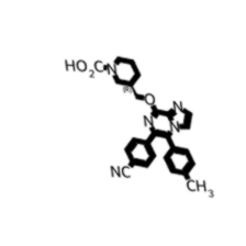 Cc1ccc(-c2c(-c3ccc(C#N)cc3)nc(OC[C@@H]3CCCN(C(=O)O)C3)c3nccn23)cc1